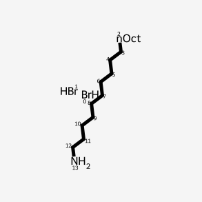 Br.Br.CCCCCCCCCCCCCCCCCCN